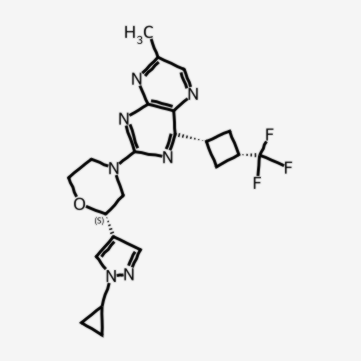 Cc1cnc2c(n1)nc(N1CCO[C@@H](c3cnn(C4CC4)c3)C1)nc2[C@H]1C[C@@H](C(F)(F)F)C1